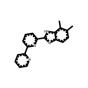 Cc1ccc2nc(-c3cccc(-c4ccccn4)n3)[nH]c2c1C